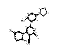 N#Cc1c(-c2cc(Cl)ccc2Cl)cc(-c2cc(C3CCCC3)ccc2O)[nH]c1=O